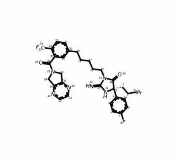 CC(C)CC[C@]1(c2ccc(F)cc2)NC(=N)N(CCCCCc2ccc(C(F)(F)F)c(C(=O)N3Cc4nccnc4C3)c2)C1=O